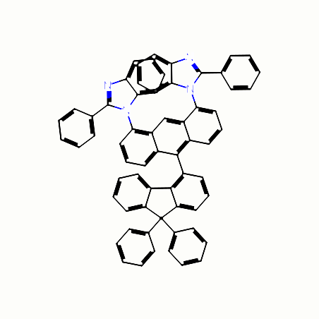 c1ccc(-c2nc3ccccc3n2-c2cccc3c(-c4cccc5c4-c4ccccc4C5(c4ccccc4)c4ccccc4)c4cccc(-n5c(-c6ccccc6)nc6ccccc65)c4cc23)cc1